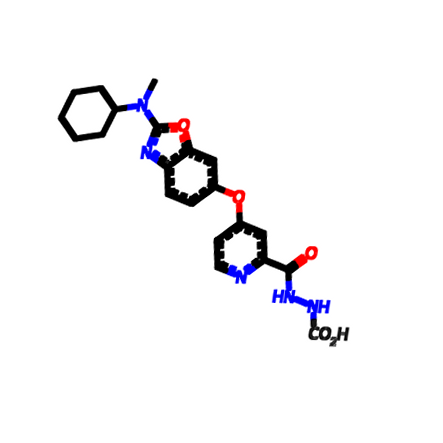 CN(c1nc2ccc(Oc3ccnc(C(=O)NNC(=O)O)c3)cc2o1)C1CCCCC1